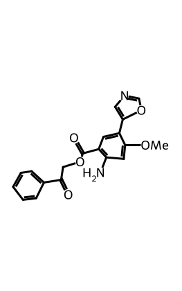 COc1cc(N)c(C(=O)OCC(=O)c2ccccc2)cc1-c1cnco1